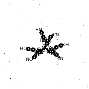 N#CCC1CCN(c2nc(Nc3ccc(N4CCC(O)CC4)cc3)c3c(=O)n(COP(=O)(OCn4ncc5nc(N6CCC(CC#N)CC6)nc(Nc6ccc(N7CCC(O)CC7)cc6)c5c4=O)OCn4ncc5nc(N6CCC(CC#N)CC6)nc(Nc6ccc(N7CCC(O)CC7)cc6)c5c4=O)ncc3n2)CC1